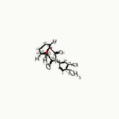 Cc1ccc(N2C(=O)C3[C@H]4C=C[C@H](CC4)[C@H]3C2=O)cc1Cl